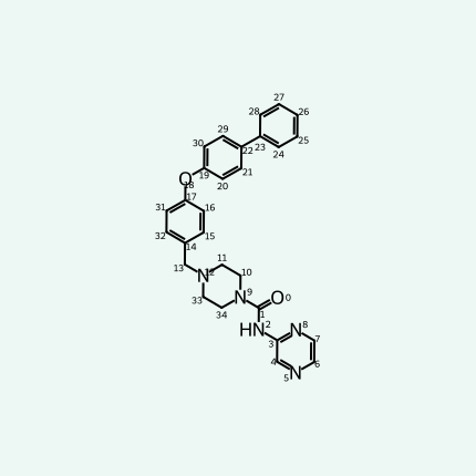 O=C(Nc1cnccn1)N1CCN(Cc2ccc(Oc3ccc(-c4ccccc4)cc3)cc2)CC1